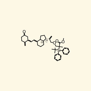 C=C1CCC(=O)CC1=CC=C1CCC[C@@]2(C)C1CC[C@@H]2C(=C)COCC(C)(C(=O)OC)[Si](c1ccccc1)(c1ccccc1)C(C)(C)C